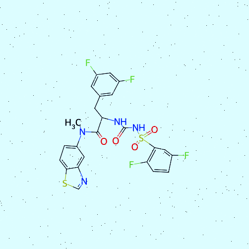 CN(C(=O)C(Cc1cc(F)cc(F)c1)NC(=O)NS(=O)(=O)c1cc(F)ccc1F)c1ccc2scnc2c1